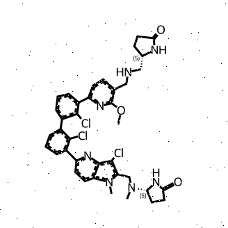 COc1nc(-c2cccc(-c3cccc(-c4ccc5c(n4)c(Cl)c(CN(C)[C@H]4CCC(=O)N4)n5C)c3Cl)c2Cl)ccc1CNC[C@@H]1CCC(=O)N1